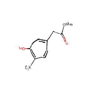 COC(=O)Cc1ccc([N+](=O)[O-])c(O)c1